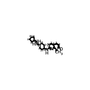 Cn1c(=O)ccc2cnc(NC3CCN(NNC4CCCC4)CC3)nc21